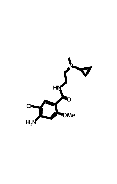 COc1cc(N)c(Cl)cc1C(=O)NCCN(C)C1CC1